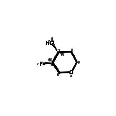 O[C@@H]1CCOC[C@H]1F